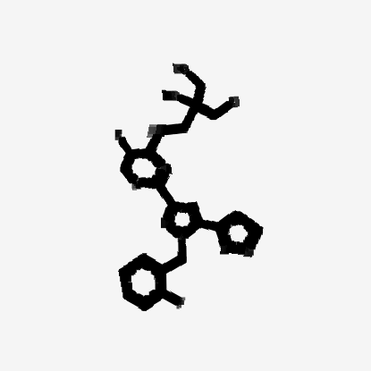 OCC(O)(CCl)CNc1nc(-c2cc(-c3ccon3)n(Cc3ccccc3F)n2)ncc1F